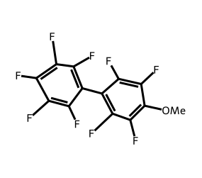 COc1c(F)c(F)c(-c2c(F)c(F)c(F)c(F)c2F)c(F)c1F